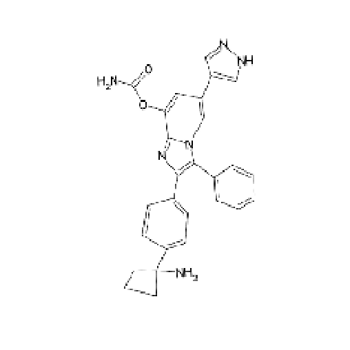 NC(=O)Oc1cc(-c2cn[nH]c2)cn2c(-c3ccccc3)c(-c3ccc(C4(N)CCC4)cc3)nc12